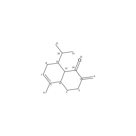 C=C1CCC2C(C)=CCC(C(C)C)C2C1=O